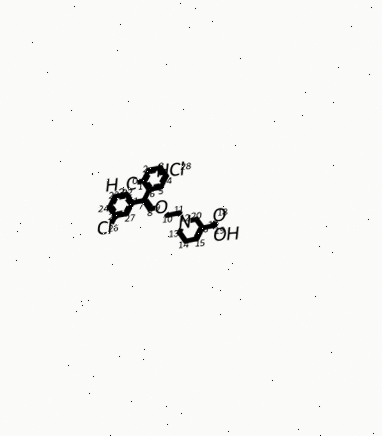 Cc1ccccc1/C(=C\OCCN1CCC=C(C(=O)O)C1)c1cccc(Cl)c1.Cl